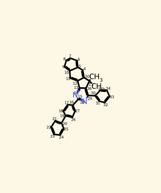 CC1(C)c2cc3ccccc3cc2-c2nc(-c3ccc(-c4ccccc4)cc3)nc(-c3ccccc3)c21